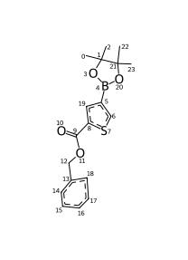 CC1(C)OB(c2csc(C(=O)OCc3ccccc3)c2)OC1(C)C